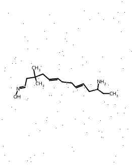 CCC(N)CC=CCCC=CCC(C)(C)CC=NO